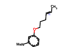 C/C=C/CCCOc1cccc(NC)c1